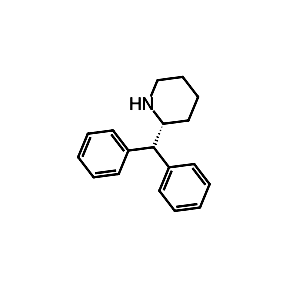 c1ccc(C(c2ccccc2)[C@H]2CCCCN2)cc1